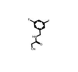 N#CCC(=O)NCc1cc(F)cc(F)c1